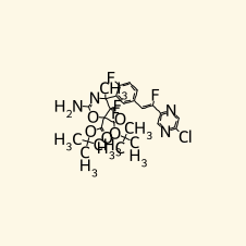 CC(C)(C)OC(=O)C1(C(=O)OC(C)(C)C)OC(N)=NC(C)(c2cc(C=C(F)c3cnc(Cl)cn3)ccc2F)C1(F)F